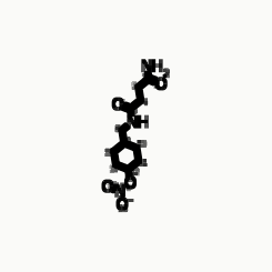 NC(=O)CCC(=O)NCC1CCC(O[N+](=O)[O-])CC1